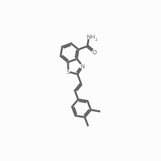 Cc1ccc(/C=C/c2nc3c(C(N)=O)cccc3s2)cc1C